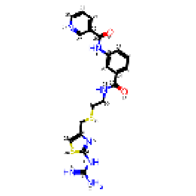 N=C(N)Nc1nc(CSCCNC(=O)c2cccc(NC(=O)c3cccnc3)c2)cs1